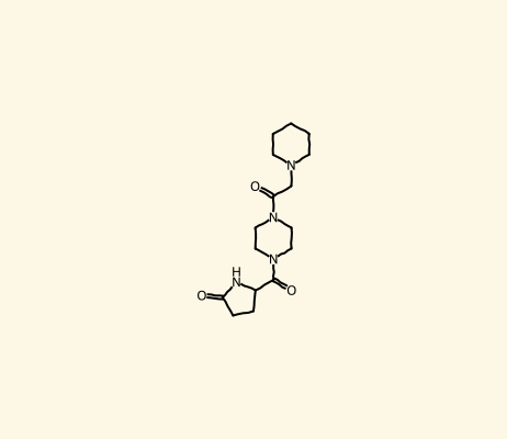 O=C1CCC(C(=O)N2CCN(C(=O)CN3CCCCC3)CC2)N1